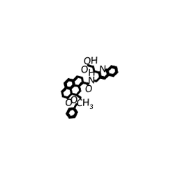 CCC1(OCc2ccccc2)CC2=C(C(=O)NCc3cc4ccccc4nc3CCC(=O)O)CC=c3ccc4c(c32)C1C(=O)CC=4